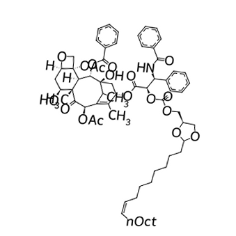 CCCCCCCC/C=C\CCCCCCCC1OC[C@H](COC(=O)O[C@@H](C(=O)O[C@H]2C[C@]3(O)C(C)C(=C2C)[C@@H](OC(C)=O)C(=O)[C@@]2(C)[C@H]([C@@H]3OC(=O)c3ccccc3)[C@]3(OC(C)=O)CO[C@@H]3C[C@@H]2O)[C@@H](NC(=O)c2ccccc2)c2ccccc2)O1